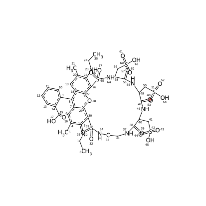 CC/N=c1\c(C)cc2c(-c3ccccc3C(=O)O)c3cc(C)c(NCC)c4c3oc-2c1S(=O)(=O)NCCNC(=O)C(CS(=O)(=O)O)NC(=O)C(CS(=O)(=O)O)NC(=O)C(CS(=O)(=O)O)NS4(=O)=O